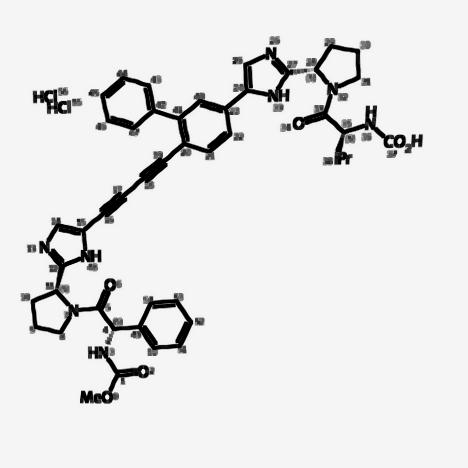 COC(=O)N[C@H](C(=O)N1CCC[C@H]1c1ncc(C#CC#Cc2ccc(-c3cnc([C@@H]4CCCN4C(=O)[C@@H](NC(=O)O)C(C)C)[nH]3)cc2-c2ccccc2)[nH]1)c1ccccc1.Cl.Cl